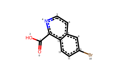 O=C(O)c1nccc2cc(Br)ccc12